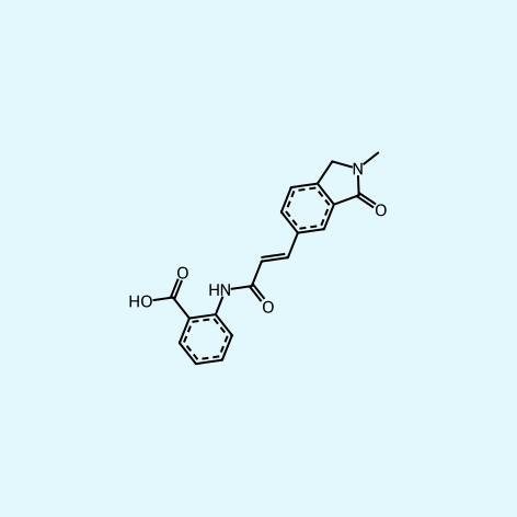 CN1Cc2ccc(C=CC(=O)Nc3ccccc3C(=O)O)cc2C1=O